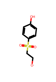 [O]CCS(=O)(=O)c1ccc(O)cc1